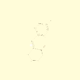 O=C1CCCC/C1=C/c1ccc(I)cc1